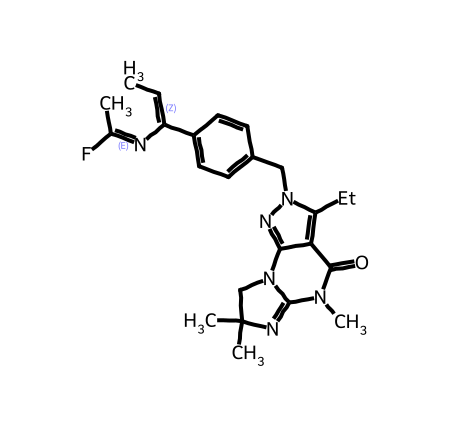 C/C=C(\N=C(/C)F)c1ccc(Cn2nc3c(c2CC)C(=O)N(C)C2=NC(C)(C)CN23)cc1